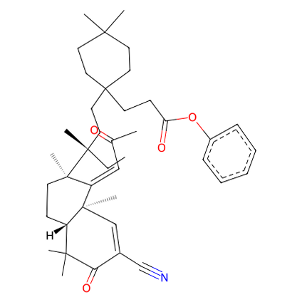 CC[C@@](C)(CCC1(CCC(=O)Oc2ccccc2)CCC(C)(C)CC1)[C@]1(C)CC[C@H]2C(C)(C)C(=O)C(C#N)=C[C@]2(C)/C1=C/C(C)=O